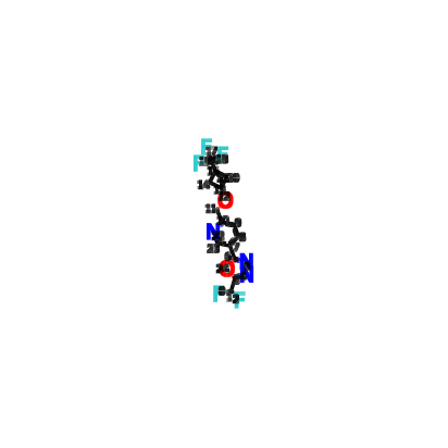 FC(F)c1nnc(-c2ccc(COC34CC(C(F)(F)F)(C3)C4)nc2)o1